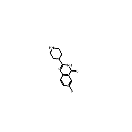 O=c1[nH]c(C2CCNCC2)nc2ccc(F)cc12